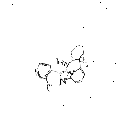 FC(F)(F)c1cccc2nc(-c3ccncc3Cl)c(NC3CCCCC3)n12